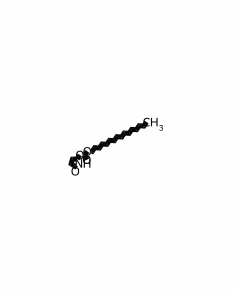 CCCCCCCCCCCCCCCCOC(=O)OC1CCC(=O)N1